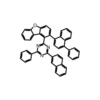 c1ccc(-c2nc(-c3ccc4ccccc4c3)nc(-c3c(-c4ccc(-c5ccccc5)c5ccccc45)ccc4oc5ccccc5c34)n2)cc1